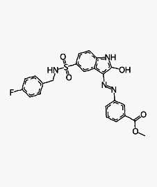 COC(=O)c1cccc(N=Nc2c(O)[nH]c3ccc(S(=O)(=O)NCc4ccc(F)cc4)cc23)c1